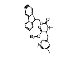 Cc1cncc(C[C@@H](C(=O)OC(C)(C)C)N(C)C(=O)OCC2c3ccccc3-c3ccccc32)c1